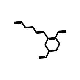 C=CCCC=CC1=C(C=C)CCC(C=C)C1